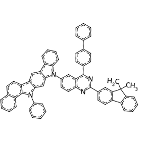 CC1(C)c2ccccc2-c2ccc(-c3nc(-c4ccc(-c5ccccc5)cc4)c4cc(-n5c6ccccc6c6cc7c8ccc9ccccc9c8n(-c8ccccc8)c7cc65)ccc4n3)cc21